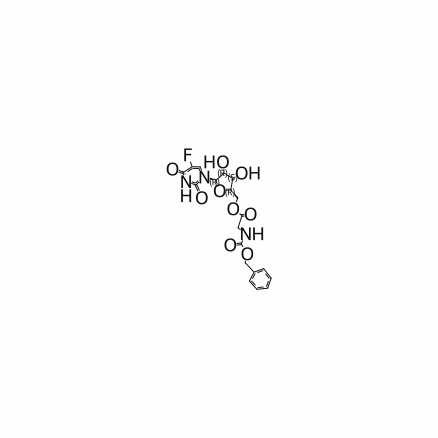 O=C(CNC(=O)OCc1ccccc1)OC[C@H]1O[C@@H](n2cc(F)c(=O)[nH]c2=O)[C@H](O)[C@@H]1O